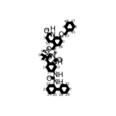 CC(C)(C)[Si](C)(C)O[C@@H](CN(CCc1ccc(NC(=O)Nc2ccccc2-c2ccccc2)cc1)C(=O)O)c1ccc(OCc2ccccc2)c2[nH]c(=O)ccc12